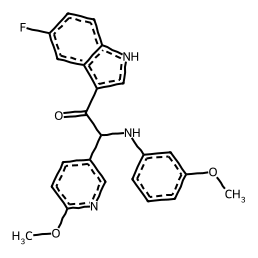 COc1cccc(NC(C(=O)c2c[nH]c3ccc(F)cc23)c2ccc(OC)nc2)c1